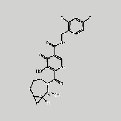 C[C@@H]1[C@@H]2CC2CCCN1C(=O)c1[nH]cc(C(=O)NCc2ccc(F)cc2F)c(=O)c1O